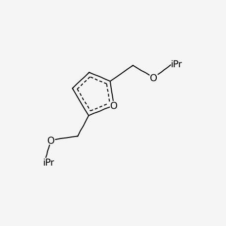 CC(C)OCc1ccc(COC(C)C)o1